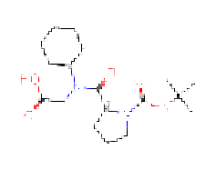 CC(C)(C)OC(=O)N1CCC[C@H]1C(=O)N(CC(=O)O)C1CCCCC1